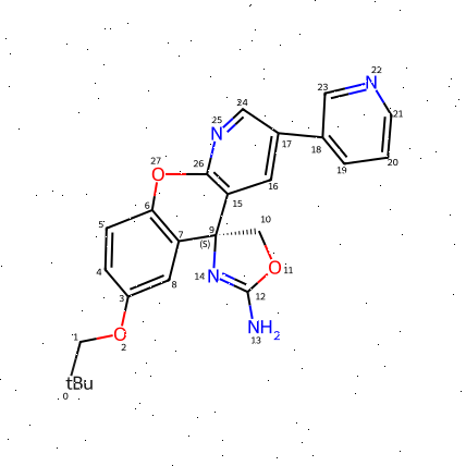 CC(C)(C)COc1ccc2c(c1)[C@@]1(COC(N)=N1)c1cc(-c3cccnc3)cnc1O2